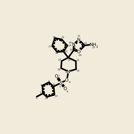 Cc1ccc(S(=O)(=O)ON2CCC(c3ccccc3)(c3nnc(N)o3)CC2)cc1